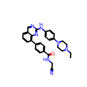 CCN1CCN(c2ccc(Nc3ncc4cccc(-c5ccc(C(=O)NCC#N)cc5)c4n3)cc2)CC1